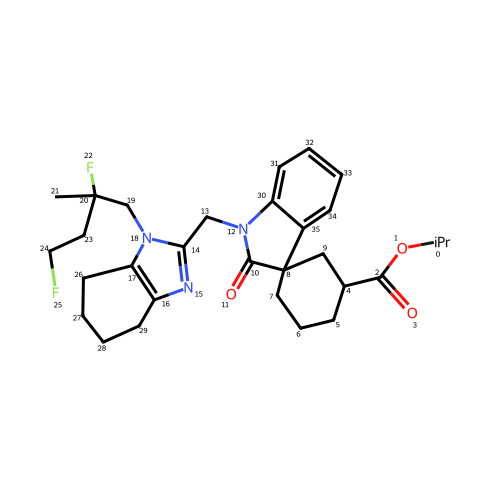 CC(C)OC(=O)C1CCCC2(C1)C(=O)N(Cc1nc3c(n1CC(C)(F)CCF)CCCC3)c1ccccc12